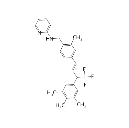 Cc1cc(/C=C/C(c2cc(C)c(C)c(C)c2)C(F)(F)F)ccc1CNc1ccccn1